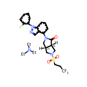 CCN(CC)CC.O=C1[C@@H]2CN(S(=O)(=O)CCC(F)(F)F)C[C@@H]2CN1c1cccc2c1cnn2-c1ccccc1F